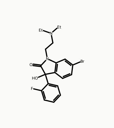 CCN(CC)CCN1C(=O)C(O)(c2ccccc2F)c2ccc(Br)cc21